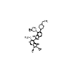 CCN1CCC(c2ccc3nc(-c4c(OC)ncc5c(C#N)c(C6CC6)[nH]c45)[nH]c3c2OCC2(C)CC2)CC1